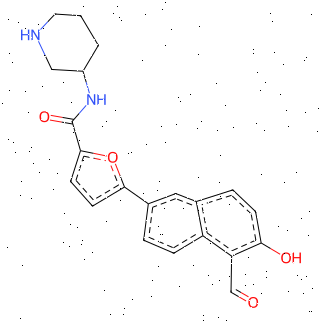 O=Cc1c(O)ccc2cc(-c3ccc(C(=O)NC4CCCNC4)o3)ccc12